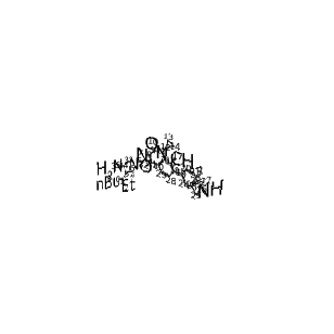 CCCCC(CC)C1CN(c2nc3c(=O)n(C4CC4)c4c(C)c(-c5ccc6c(c5)CNC6)ccc4c3o2)CC1N